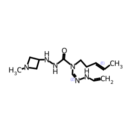 C=CN/N=C\N(CC/C=C/C)C(=O)NNC1CN(C)C1